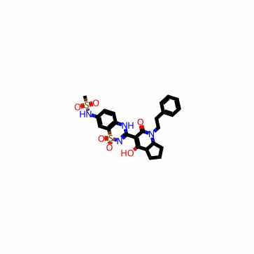 CS(=O)(=O)Nc1ccc2c(c1)S(=O)(=O)N=C(C1=C(O)C3CCCC3N(CCc3ccccc3)C1=O)N2